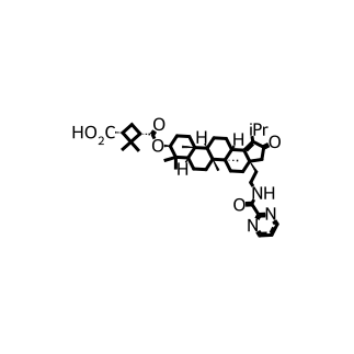 CC(C)C1=C2[C@H]3CC[C@@H]4[C@@]5(C)CC[C@H](OC(=O)[C@H]6C[C@@H](C(=O)O)C6(C)C)C(C)(C)[C@@H]5CC[C@@]4(C)[C@]3(C)CC[C@@]2(CCNC(=O)c2ncccn2)CC1=O